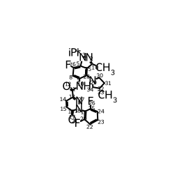 Cc1nn(C(C)C)c2c(F)cc(NC(=O)c3ccc(=O)n(-c4c(F)cccc4F)n3)c(N3CC[C@H](C)C3)c12